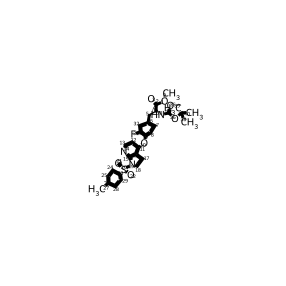 COC(=O)[C@H](Cc1ccc(Oc2ccnc3c2ccn3S(=O)(=O)c2ccc(C)cc2)c(F)c1)NC(=O)OC(C)(C)C